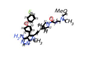 COCCN(C)C/C=C/C(=O)N1C[C@@H]2[C@@H](C#Cc3c(-c4ccc(Oc5cccc(F)c5)cc4)c4c(N)ncnc4n3C)[C@@H]2C1